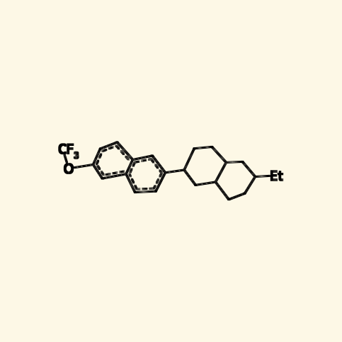 CCC1CCC2CC(c3ccc4cc(OC(F)(F)F)ccc4c3)CCC2C1